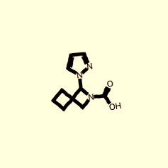 O=C(O)N1CC2(CCC2)C1n1cccn1